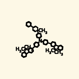 CC1(c2ccc(N(c3ccc(-c4ccc5c(c4)C(C)(C)c4ccccc4-5)cc3)c3ccc(-c4ccc5c(c4)C(C)(C)c4ccccc4-5)cc3)cc2)C=CC(c2ccccc2)=CC1